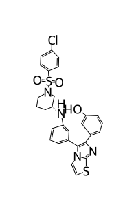 O=S(=O)(c1ccc(Cl)cc1)N1CCC[C@@H](Nc2cccc(-c3c(-c4cccc(O)c4)nc4sccn34)c2)C1